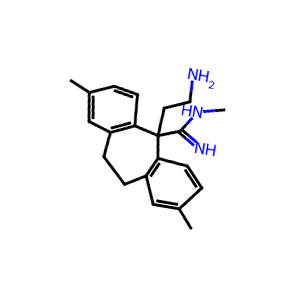 CNC(=N)C1(CCN)c2ccc(C)cc2CCc2cc(C)ccc21